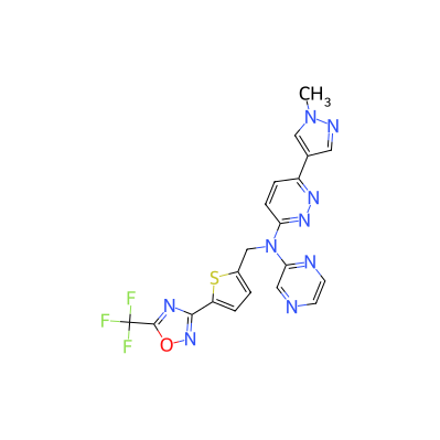 Cn1cc(-c2ccc(N(Cc3ccc(-c4noc(C(F)(F)F)n4)s3)c3cnccn3)nn2)cn1